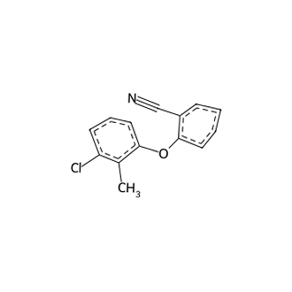 Cc1c(Cl)cccc1Oc1ccccc1C#N